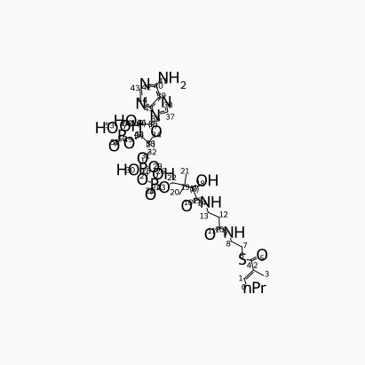 CCCC=C(C)C(=O)SCCNC(=O)CCNC(=O)[C@H](O)C(C)(C)COP(=O)(O)OP(=O)(O)OC[C@H]1O[C@@H](n2cnc3c(N)ncnc32)[C@H](O)[C@@H]1OP(=O)(O)O